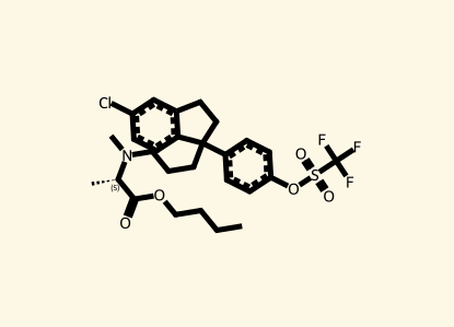 CCCCOC(=O)[C@H](C)N(C)CCCC1(c2ccc(OS(=O)(=O)C(F)(F)F)cc2)CCc2cc(Cl)ccc21